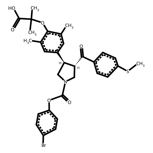 CSc1ccc(C(=O)[C@@H]2CN(C(=O)Oc3ccc(Br)cc3)C[C@H]2c2cc(C)c(OC(C)(C)C(=O)O)c(C)c2)cc1